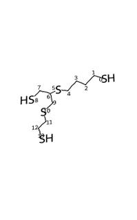 SCCCCSC(CS)CSCCS